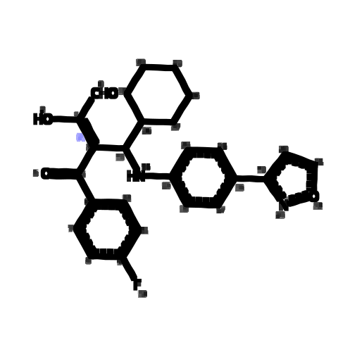 O=C/C(O)=C(/C(=O)c1ccc(F)cc1)C(Nc1ccc(-c2ccon2)cc1)C1CCCCC1